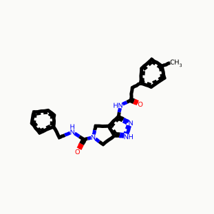 Cc1ccc(CC(=O)Nc2n[nH]c3c2CN(C(=O)NCc2ccccc2)C3)cc1